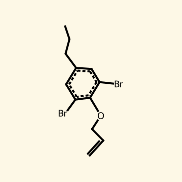 C=CCOc1c(Br)cc(CCC)cc1Br